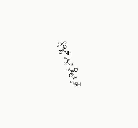 CC(C)(C)OC(=O)NCCCCCC(=O)OCCS